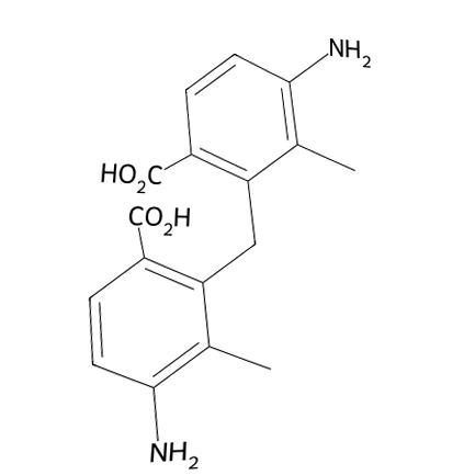 Cc1c(N)ccc(C(=O)O)c1Cc1c(C(=O)O)ccc(N)c1C